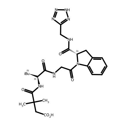 CC[C@H](C)[C@H](NC(=O)C(C)(C)CC(=O)O)C(=O)NCC(=O)N1c2ccccc2C[C@H]1C(=O)NCc1nn[nH]n1